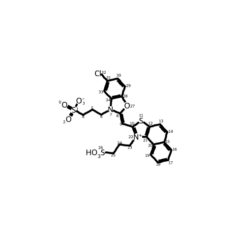 O=S(=O)([O-])CCCN1C(=Cc2sc3ccc4ccccc4c3[n+]2CCCS(=O)(=O)O)Oc2ccc(Cl)cc21